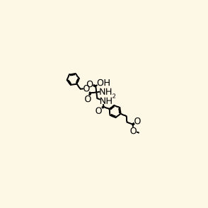 COC(=O)CCc1ccc(C(=O)NCC(N)(C(=O)O)C(=O)OCc2ccccc2)cc1